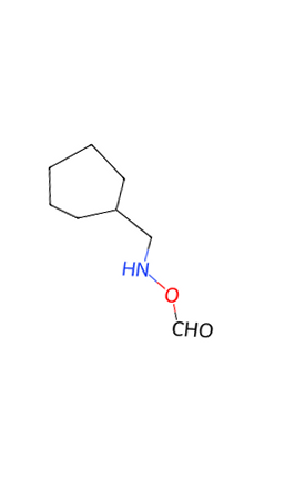 O=CONCC1CCCCC1